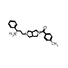 Cc1ccc(C(=O)N2CC3CN(CC[C@H](N)c4ccccc4)CC3C2)cc1